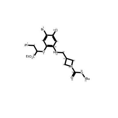 CCOC(=O)C(CC(C)C)Oc1cc(Br)c(Cl)cc1NCC1CN(C(=O)OC(C)(C)C)C1